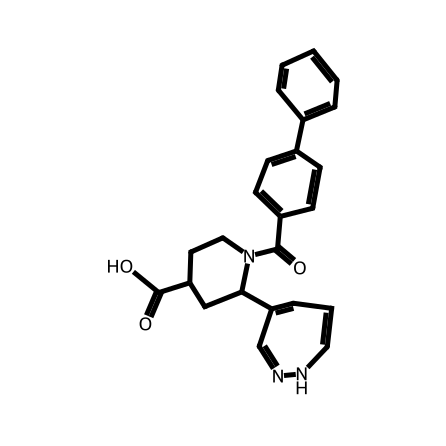 O=C(O)C1CCN(C(=O)c2ccc(-c3ccccc3)cc2)C(C2=CC=CNN=C2)C1